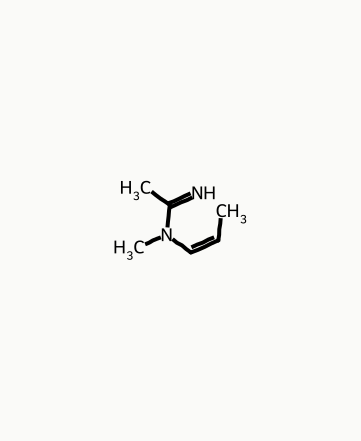 C/C=C\N(C)C(C)=N